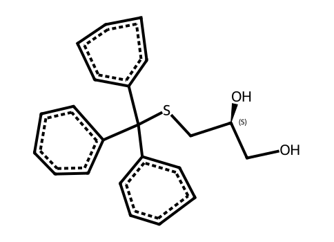 OC[C@H](O)CSC(c1ccccc1)(c1ccccc1)c1ccccc1